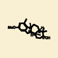 COc1cc(C)c2c(c1)C[C@@H]1[C@@]3(C)CC[C@H](O)C(C)(C)[C@@H]3CC[C@@]21C